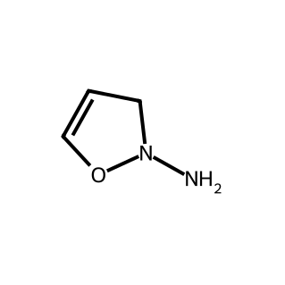 NN1CC=CO1